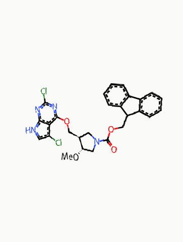 CO[C@H]1CN(C(=O)OCC2c3ccccc3-c3ccccc32)C[C@@H]1COc1nc(Cl)nc2[nH]cc(Cl)c12